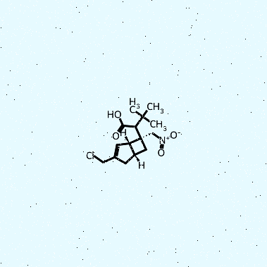 CC(C)(C)C(C(=O)O)[C@@]1(C[N+](=O)[O-])C[C@@H]2CC(CCl)=C[C@@H]21